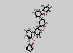 c1ccc2c(c1)oc1c(-c3ccc4oc5ccc(-c6cccc7c6oc6ccccc67)cc5c4c3)cccc12